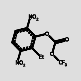 CCc1c([N+](=O)[O-])ccc([N+](=O)[O-])c1OC(=O)OC(F)(F)F